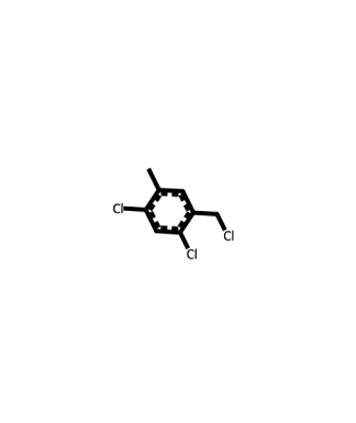 Cc1cc(CCl)c(Cl)cc1Cl